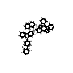 c1ccc2c(c1)Oc1ccccc1C21c2ccccc2-c2ccc(N(c3ccc4c(c3)c3ccccc3n4-c3ccc4c(c3)oc3ccccc34)c3cccc4ccccc34)c3cccc1c23